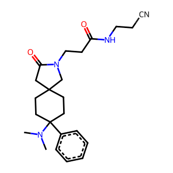 CN(C)C1(c2ccccc2)CCC2(CC1)CC(=O)N(CCC(=O)NCCC#N)C2